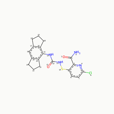 NC(=O)c1nc(Cl)ccc1SNC(=O)Nc1c2c(cc3c1CCC3)CCC2